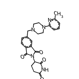 Cc1cccc(N2CCN(Cc3ccc4c(c3)C(=O)N(C3CCC(=O)NC3=O)C4=O)CC2)n1